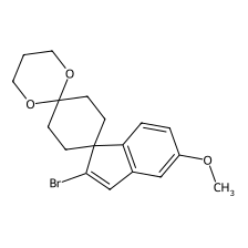 COc1ccc2c(c1)C=C(Br)C21CCC2(CC1)OCCCO2